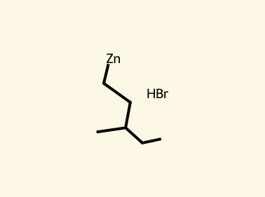 Br.CCC(C)C[CH2][Zn]